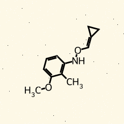 COc1cccc(NOC=C2CC2)c1C